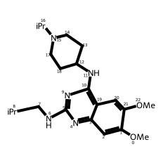 COc1cc2nc(NCC(C)C)nc(NC3CCN(C(C)C)CC3)c2cc1OC